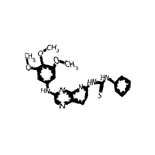 COc1cc(Nc2cnc3ccc(NC(=S)Nc4ccccc4)nc3n2)cc(OC)c1OC